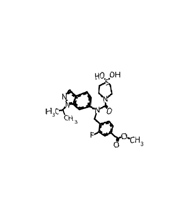 COC(=O)c1ccc(CN(C(=O)N2CCS(O)(O)CC2)c2ccc3cnn(C(C)C)c3c2)c(F)c1